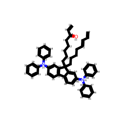 C=C/C=C/CCCCC1(CCCCCC(=O)C=C)c2cc(N(c3ccccc3)c3ccccc3)ccc2-c2ccc(N(c3ccccc3)c3ccccc3)cc21